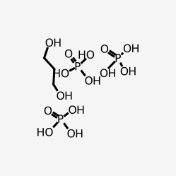 O=P(O)(O)O.O=P(O)(O)O.O=P(O)(O)O.OCCCO